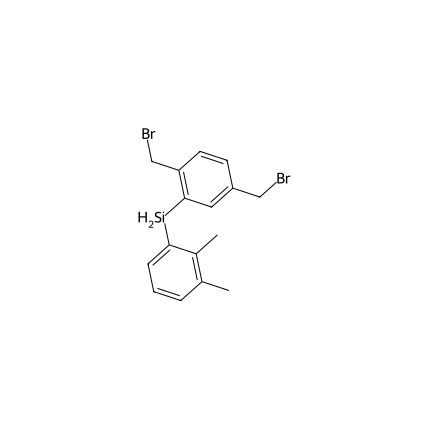 Cc1cccc([SiH2]c2cc(CBr)ccc2CBr)c1C